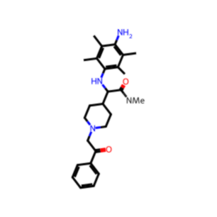 CNC(=O)C(Nc1c(C)c(C)c(N)c(C)c1C)C1CCN(CC(=O)c2ccccc2)CC1